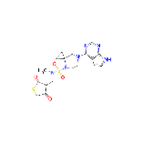 CN(CC1C(=O)CSC1=O)S(=O)(=O)N1CCN(c2ncnc3[nH]ccc23)CC12CC2